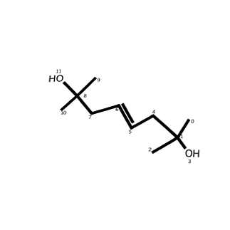 CC(C)(O)CC=CCC(C)(C)O